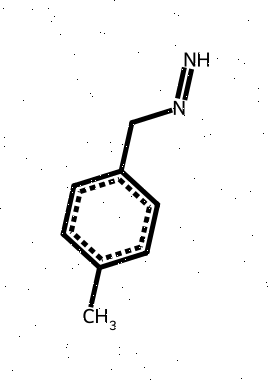 Cc1ccc(CN=N)cc1